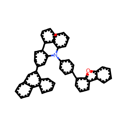 c1ccc(-c2ccc(-c3cc4ccccc4c4ccccc34)cc2N(c2ccccc2)c2ccc(-c3cccc4c3oc3ccccc34)cc2)cc1